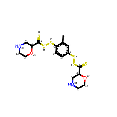 Cc1cc(SSC(=S)C2CNCCO2)ccc1SSC(=S)C1CNCCO1